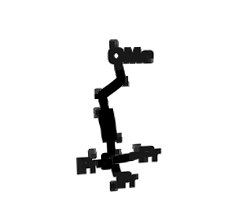 COCCC#C[Si](C(C)C)(C(C)C)C(C)C